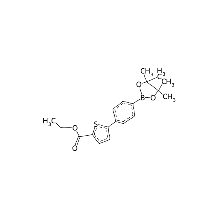 CCOC(=O)c1ccc(-c2ccc(B3OC(C)(C)C(C)(C)O3)cc2)s1